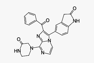 O=C1CN(c2nccn3c(-c4ccc5c(c4)CC(=O)N5)c(C(=O)c4ccccc4)nc23)CCN1